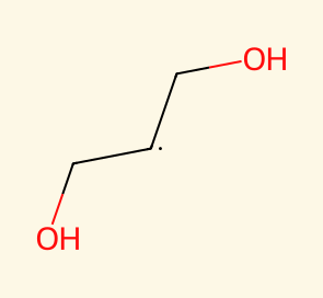 OC[CH]CO